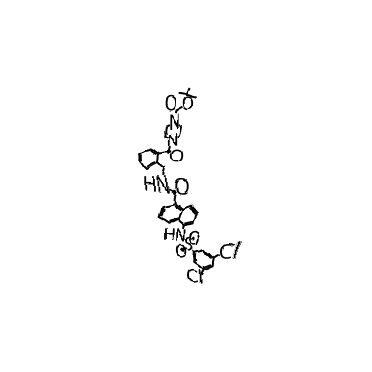 CC(C)(C)OC(=O)N1CCN(C(=O)c2ccccc2CNC(=O)c2cccc3c(NS(=O)(=O)c4cc(Cl)cc(Cl)c4)cccc23)CC1